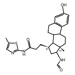 Cc1cnc(NC(=O)CC[C@@H]2CC(NC=O)[C@@]3(C)CCC4c5ccc(O)cc5CCC4C23)s1